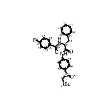 CC(C)(C)C[S+]([O-])c1ccc(NC(=O)[C@H](Cc2ccccc2)NC(=O)c2ccc(F)cc2)cc1